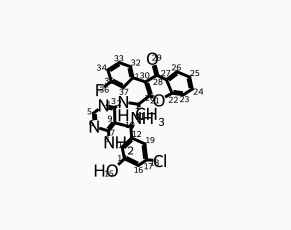 CC(Nc1ncnc(N)c1C(=N)c1cc(O)cc(Cl)c1)c1oc2ccccc2c(=O)c1-c1cccc(F)c1